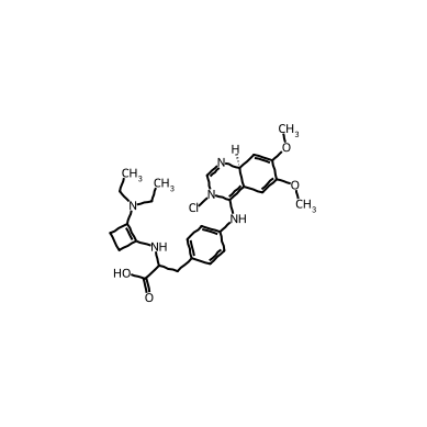 CCN(CC)C1=C(NC(Cc2ccc(NC3=C4C=C(OC)C(OC)=C[C@@H]4N=CN3Cl)cc2)C(=O)O)CC1